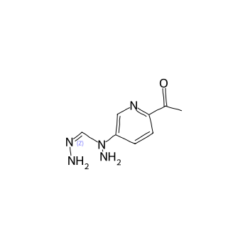 CC(=O)c1ccc(N(N)/C=N\N)cn1